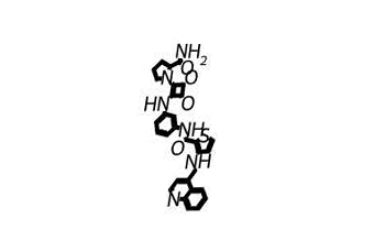 NC(=O)C1CCCN1c1c(Nc2cccc(NC(=O)c3sccc3NCc3ccnc4ccccc34)c2)c(=O)c1=O